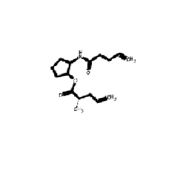 C=CCCC(=O)NC1CCCC1OC(=O)[C@@H](C)CC=C